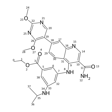 CCOC(=O)c1cc(Nc2c(C(N)=O)cnc3cc(-c4cnc(OC)nc4OC)ccc23)cc(NC(C)C)c1